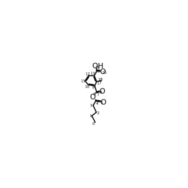 CCCCC(=O)OC(=O)c1cccc(C(=O)O)c1C